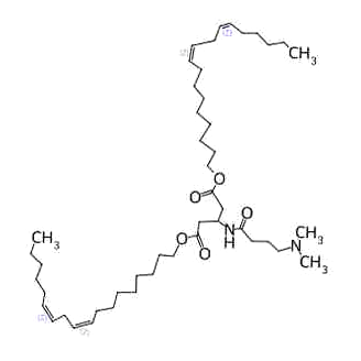 CCCCC/C=C\C/C=C\CCCCCCCCOC(=O)CC(CC(=O)OCCCCCCCC/C=C\C/C=C\CCCCC)NC(=O)CCCN(C)C